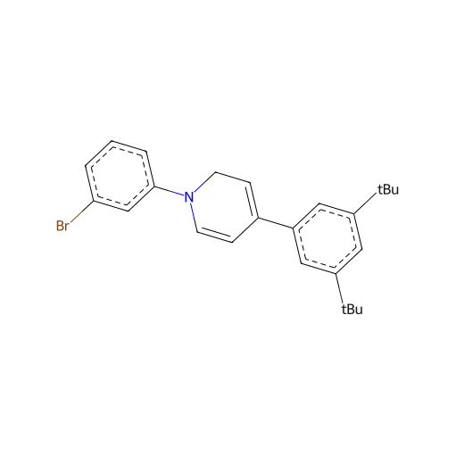 CC(C)(C)c1cc(C2=CCN(c3cccc(Br)c3)C=C2)cc(C(C)(C)C)c1